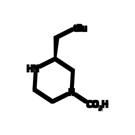 CC(C)(C)C[C@H]1CN(C(=O)O)CCN1